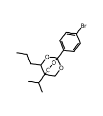 CCCC1OC2(c3ccc(Br)cc3)OCC1(C(C)C)CO2